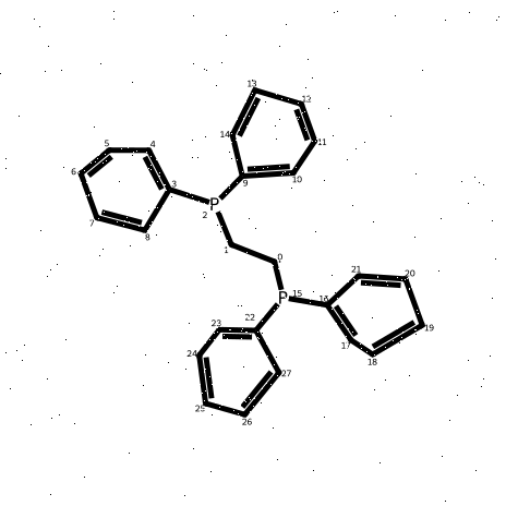 [CH](CP(c1ccccc1)c1ccccc1)P(c1ccccc1)c1ccccc1